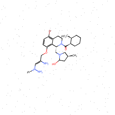 CC(C)N(N)/C=C(\N)COc1ccc(Br)c2c1[C@@H](CN1C[C@@H](C)CC1O)N(C(=O)[C@@H]1CCCC[C@@H]1C(=O)O)CC2